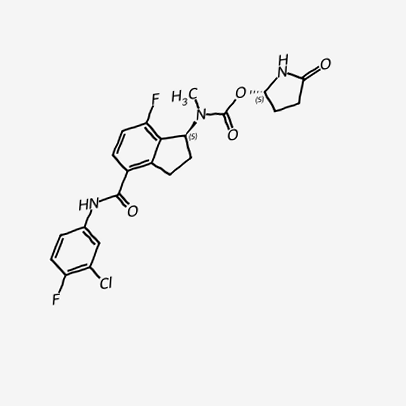 CN(C(=O)O[C@H]1CCC(=O)N1)[C@H]1CCc2c(C(=O)Nc3ccc(F)c(Cl)c3)ccc(F)c21